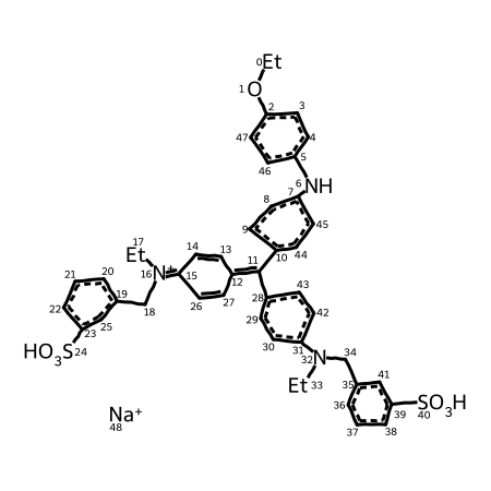 CCOc1ccc(Nc2ccc(C(=C3C=CC(=[N+](CC)Cc4cccc(S(=O)(=O)O)c4)C=C3)c3ccc(N(CC)Cc4cccc(S(=O)(=O)O)c4)cc3)cc2)cc1.[Na+]